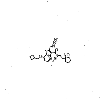 [N-]=[N+]=NCc1nc2c(OCC3CCC3)cccn2c1C(=O)N(N)CCC1(N=O)CCCC1